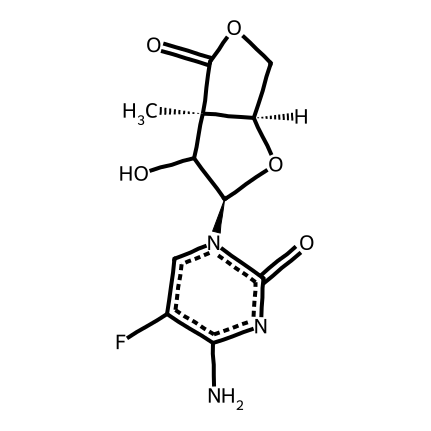 C[C@]12C(=O)OC[C@H]1O[C@@H](n1cc(F)c(N)nc1=O)C2O